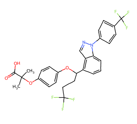 CC(C)(Oc1ccc(OC(CCC(F)(F)F)c2cccc3c2cnn3-c2ccc(C(F)(F)F)cc2)cc1)C(=O)O